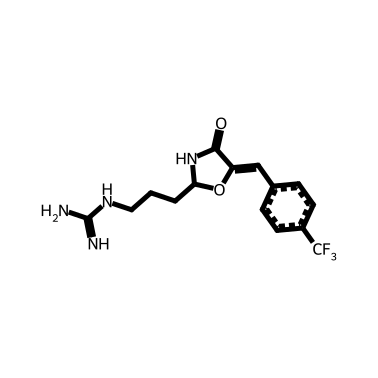 N=C(N)NCCCC1NC(=O)/C(=C/c2ccc(C(F)(F)F)cc2)O1